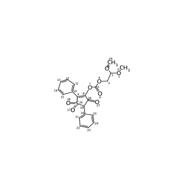 COC(COC(=O)OC1=C(c2ccccc2)S(=O)(=O)C(c2ccccc2)C1=O)OC